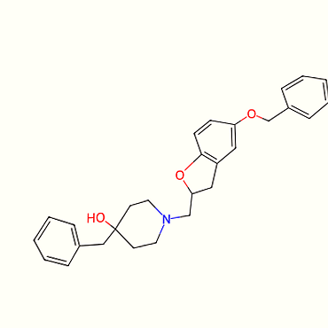 OC1(Cc2ccccc2)CCN(CC2Cc3cc(OCc4ccccc4)ccc3O2)CC1